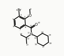 COc1c(Br)cccc1C(=O)N(C(C)C)C1CCCCC1